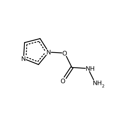 NNC(=O)On1ccnc1